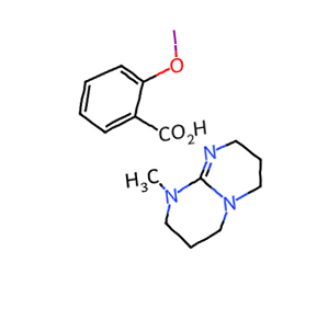 CN1CCCN2CCCN=C12.O=C(O)c1ccccc1OI